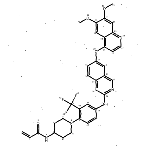 C=CC(=O)NC1CCN(c2ccc(Nc3ncc4cc(Oc5ccnc6cc(OC)c(OC)cc56)ccc4n3)cc2C(F)(F)F)CC1